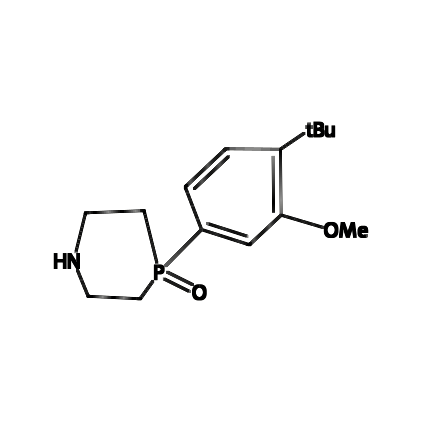 COc1cc(P2(=O)CCNCC2)ccc1C(C)(C)C